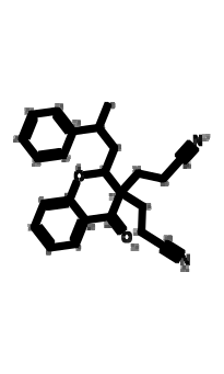 CC(CC1Oc2ccccc2C(=O)C1(CCC#N)CCC#N)c1ccccc1